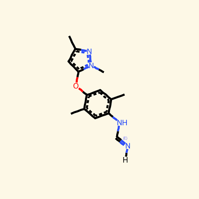 [H]/N=C/Nc1cc(C)c(Oc2cc(C)nn2C)cc1C